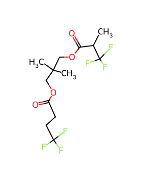 CC(C(=O)OCC(C)(C)COC(=O)CCC(F)(F)F)C(F)(F)F